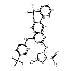 CC(C)(C)c1ccc(Nc2nc(CN3C[C@H](O)C[C@H]3C(=O)O)nc3cc(-c4ncccc4C(F)(F)F)ccc23)cc1